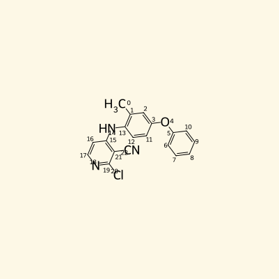 Cc1cc(Oc2ccccc2)ccc1Nc1ccnc(Cl)c1C#N